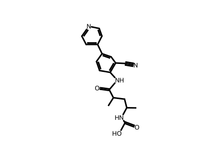 CC(CC(C)C(=O)Nc1ccc(-c2ccncc2)cc1C#N)NC(=O)O